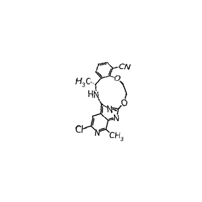 Cc1nc(Cl)cc2c3nc(nc12)OCCOc1c(C#N)cccc1[C@@H](C)N3